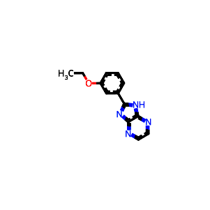 CCOc1cccc(-c2nc3nccnc3[nH]2)c1